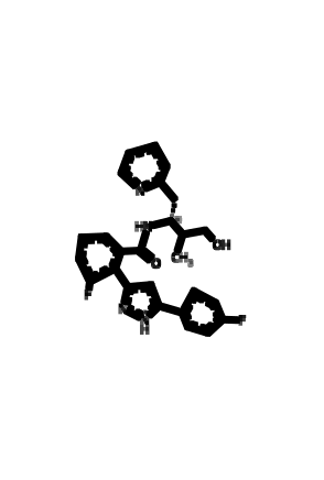 CC(CO)[C@@H](Cc1ccccn1)NC(=O)c1cccc(F)c1-c1cc(-c2ccc(F)cc2)[nH]n1